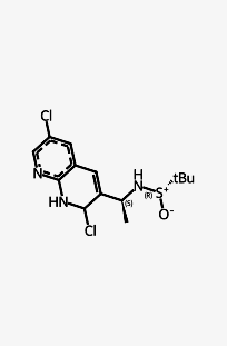 C[C@H](N[S@@+]([O-])C(C)(C)C)C1=Cc2cc(Cl)cnc2NC1Cl